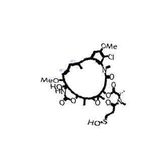 COc1cc2cc(c1Cl)N(C)C(=O)CC(OC(=O)[C@H](C)N(C)C(=O)CCSO)C1(C)OC1C(C)C1CC(O)(NC(=O)O1)C(OC)/C=C/C=C(\C)C2